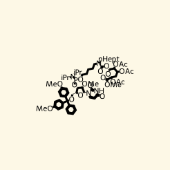 CCCCCCCN(CCCCCOP(OC1C(OC)[C@H](n2ccc(=O)[nH]c2=O)O[C@@H]1COC(c1ccccc1)(c1ccc(OC)cc1)c1ccc(OC)cc1)N(C(C)C)C(C)C)C(=O)OC1OC(OC(C)=O)(C(=O)OC)CC(OC(C)=O)C1OC(C)=O